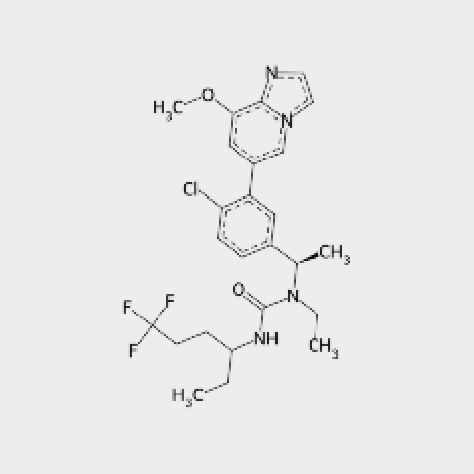 CCC(CCC(F)(F)F)NC(=O)N(CC)[C@H](C)c1ccc(Cl)c(-c2cc(OC)c3nccn3c2)c1